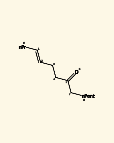 CCCC=CCCC(=O)CCCCCC